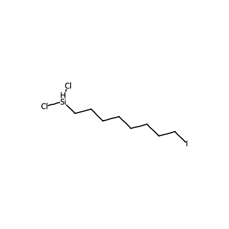 Cl[SiH](Cl)CCCCCCCCI